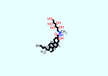 CC(C)CCC[C@@H](C)[C@H]1CC[C@H]2[C@@H]3CC=C4C[C@@](O)(C(=O)NN(C)C[C@H](O)[C@@H](O)[C@H](O)[C@H](O)CO)CC[C@]4(C)[C@H]3CC[C@]12C